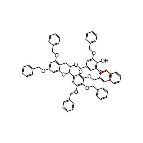 O=C(O[C@@H]1Cc2c(OCc3ccccc3)cc(OCc3ccccc3)cc2O[C@@H]1c1cc(OCc2ccccc2)c(OCc2ccccc2)c(OCc2ccccc2)c1)c1cc(OCc2ccccc2)c(O)c(OCc2ccccc2)c1